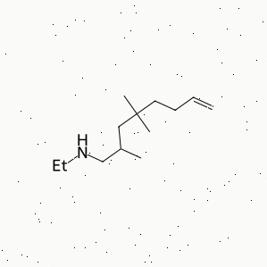 C=CCCC(C)(C)CC(C)CNCC